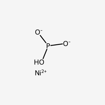 [Ni+2].[O-]P([O-])O